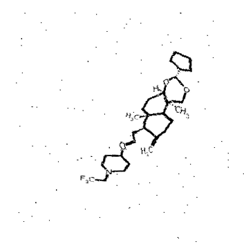 C=C1CCC2[C@]3(C)CO[C@@H](C4CCCC4)O[C@@H]3CC[C@@]2(C)[C@@H]1CCOC1CCN(CC(F)(F)F)CC1